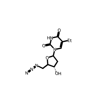 CCc1cn(C2C[C@H](O)C(CN=[N+]=[N-])O2)c(=O)[nH]c1=O